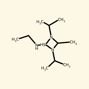 CCN[SiH]1N(C(C)C)C(C)N1C(C)C